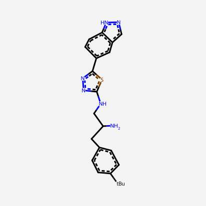 CC(C)(C)c1ccc(CC(N)CNc2nnc(-c3ccc4[nH]ncc4c3)s2)cc1